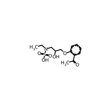 CCN(CC(O)COc1ccccc1C(C)=O)S(=O)(=O)O